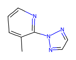 Cc1cccnc1-n1nccn1